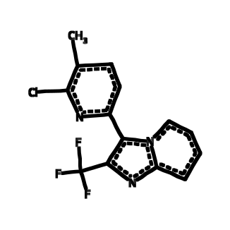 Cc1ccc(-c2c(C(F)(F)F)nc3ccccn23)nc1Cl